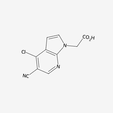 N#Cc1cnc2c(ccn2CC(=O)O)c1Cl